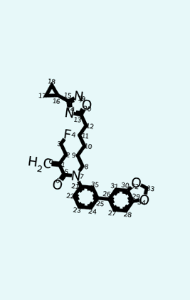 C=C(CCF)C(=O)N(CCCCCc1nc(C2CC2)no1)c1cccc(-c2ccc3c(c2)OCO3)c1